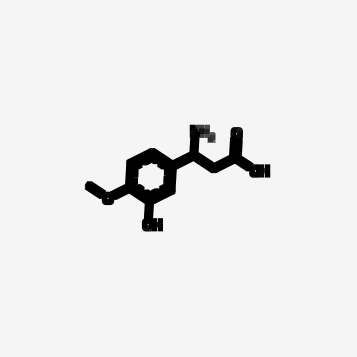 COc1ccc(C(N)CC(=O)O)cc1O